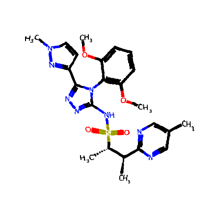 COc1cccc(OC)c1-n1c(NS(=O)(=O)[C@@H](C)[C@H](C)c2ncc(C)cn2)nnc1-c1ccn(C)n1